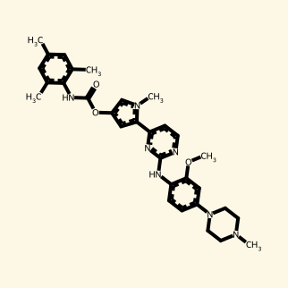 COc1cc(N2CCN(C)CC2)ccc1Nc1nccc(-c2cc(OC(=O)Nc3c(C)cc(C)cc3C)cn2C)n1